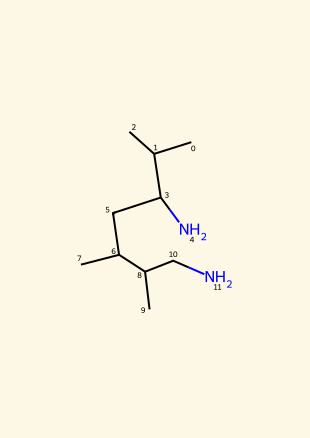 CC(C)C(N)CC(C)C(C)CN